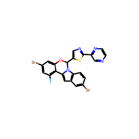 Fc1cc(Br)cc2c1-c1cc3cc(Br)ccc3n1C(c1cnc(-c3cnccn3)s1)O2